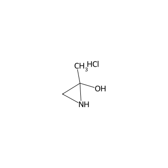 CC1(O)CN1.Cl